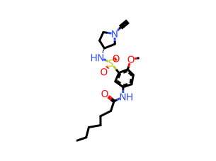 C#CN1CC[C@@H](NS(=O)(=O)c2cc(NC(=O)CCCCCC)ccc2OC)C1